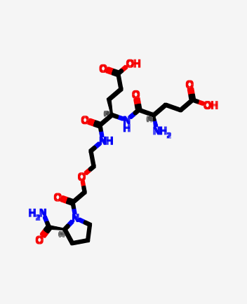 NC(=O)[C@@H]1CCCN1C(=O)COCCNC(=O)[C@@H](CCC(=O)O)NC(=O)[C@H](N)CCC(=O)O